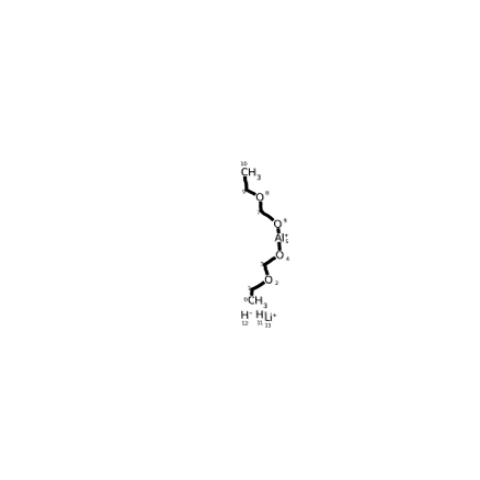 CCOC[O][Al+][O]COCC.[H-].[H-].[Li+]